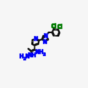 C/C(NN)=C(/N)c1ccnc(-c2cn(Cc3cccc(Cl)c3Cl)cn2)c1